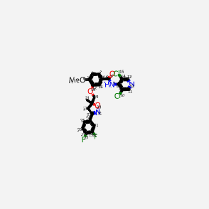 COc1ccc(C(=O)Nc2c(Cl)cncc2Cl)cc1OCC1(C)CC(c2ccc(F)c(F)c2)=NO1